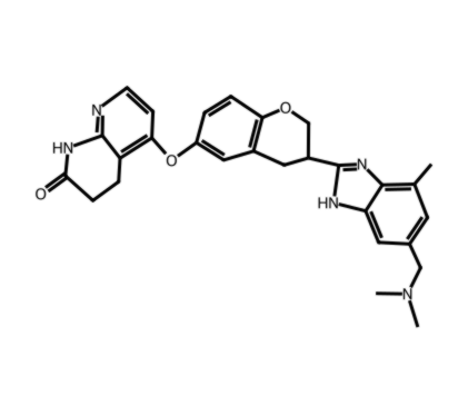 Cc1cc(CN(C)C)cc2[nH]c(C3COc4ccc(Oc5ccnc6c5CCC(=O)N6)cc4C3)nc12